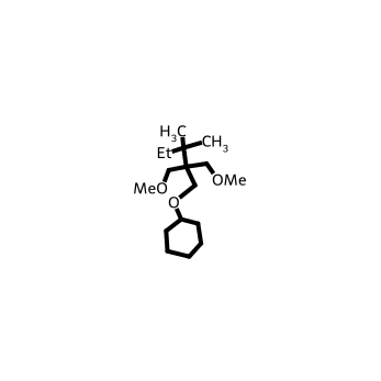 CCC(C)(C)C(COC)(COC)COC1CCCCC1